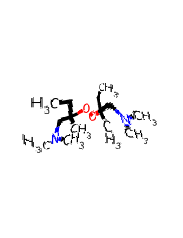 CCC(C)(CN(C)C)OOC(C)(CC)CN(C)C